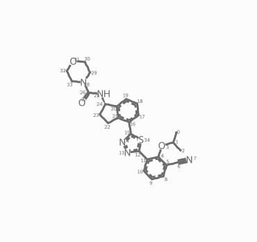 CC(C)Oc1c(C#N)cccc1-c1nnc(-c2cccc3c2CC[C@H]3NC(=O)N2CCOCC2)s1